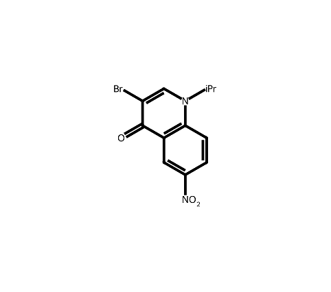 CC(C)n1cc(Br)c(=O)c2cc([N+](=O)[O-])ccc21